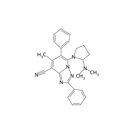 Cc1c(-c2ccccc2)c(N2CCCC2N(C)C)n2nc(-c3ccccc3)nc2c1C#N